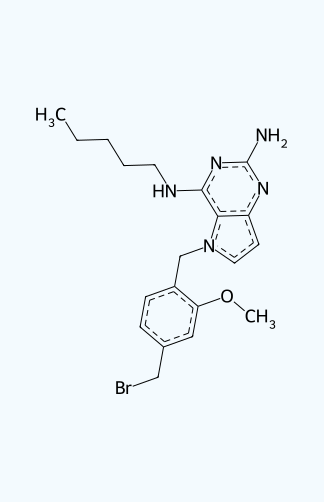 CCCCCNc1nc(N)nc2ccn(Cc3ccc(CBr)cc3OC)c12